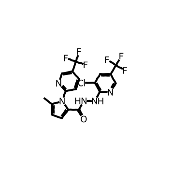 Cc1ccc(C(=O)NNc2ncc(C(F)(F)F)cc2Cl)n1-c1ccc(C(F)(F)F)cn1